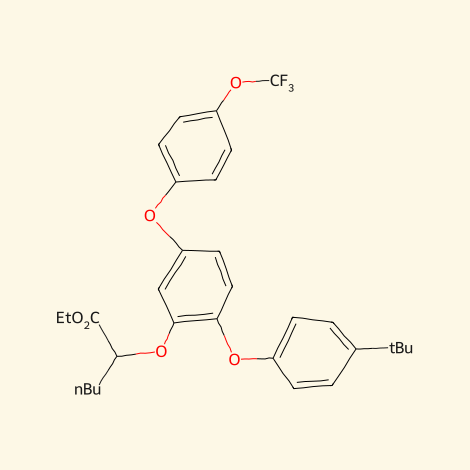 CCCCC(Oc1cc(Oc2ccc(OC(F)(F)F)cc2)ccc1Oc1ccc(C(C)(C)C)cc1)C(=O)OCC